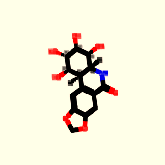 O=C1N[C@H]2[C@H](O)[C@H](O)[C@@H](O)[C@H](O)[C@@H]2C2=C1CC1OCOC1=C2